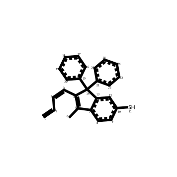 C=C/C=C\C1=C(C)c2ccc(S)cc2C1(c1ccccc1)c1ccccc1